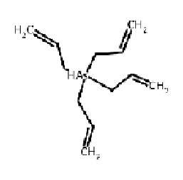 C=CC[AsH](CC=C)(CC=C)CC=C